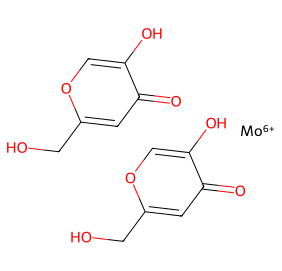 O=c1cc(CO)occ1O.O=c1cc(CO)occ1O.[Mo+6]